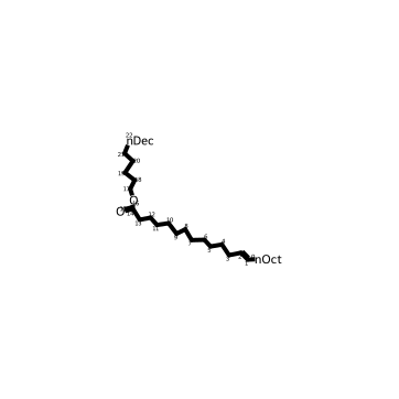 CCCCCCCCC=CCCCCCCCCCCCC(=O)OCCCCCCCCCCCCCCC